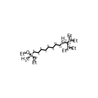 CCO[Si](C)(CCCCCCCC[SiH2]C(N(CC)CC)N(CC)CC)OCC